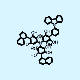 Oc1c(O)c(N(c2c(O)c(O)c(-c3cccc4ccccc34)c(O)c2O)c2c(O)c(O)c(-c3cccc4ccccc34)c(O)c2O)c(O)c(O)c1-c1cccc(-n2c3ccccc3c3ccccc32)c1